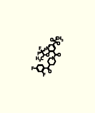 C[C@H](Oc1ncc(S(C)(=O)=O)cc1C(=O)N1CCC(C(=O)c2ccc(F)cc2F)CC1)C(F)(F)F